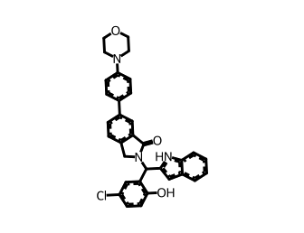 O=C1c2cc(-c3ccc(N4CCOCC4)cc3)ccc2CN1C(c1cc2ccccc2[nH]1)c1cc(Cl)ccc1O